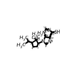 CC(C)C1CCC(n2cnc3c(S)ncnc32)C1(C)C